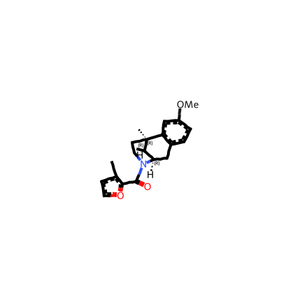 COc1ccc2c(c1)[C@]1(C)CCN(C(=O)c3occc3C)[C@H](C2)[C@@H]1C